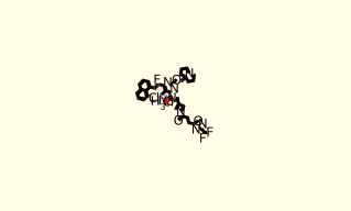 C/N=C\c1c(/C(F)=C/c2cccc3cccc(Cl)c23)nc(OCC23CCCN2CCC3)nc1N(C)CC1CN(C(=O)CCc2nc(C(F)F)no2)C1